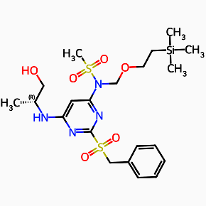 C[C@H](CO)Nc1cc(N(COCC[Si](C)(C)C)S(C)(=O)=O)nc(S(=O)(=O)Cc2ccccc2)n1